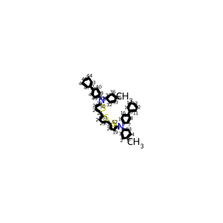 Cc1ccc(N(c2ccc(-c3ccccc3)cc2)c2ccc(-c3ccc(-c4ccc(N(c5ccc(C)cc5)c5ccc(-c6ccccc6)cc5)s4)s3)s2)cc1